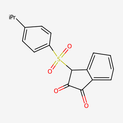 CC(C)c1ccc(S(=O)(=O)C2C(=O)C(=O)c3ccccc32)cc1